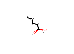 C[Se]CCC(=O)O